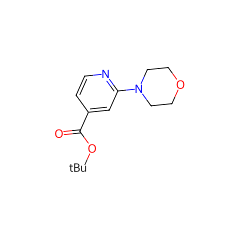 CC(C)(C)OC(=O)c1ccnc(N2CCOCC2)c1